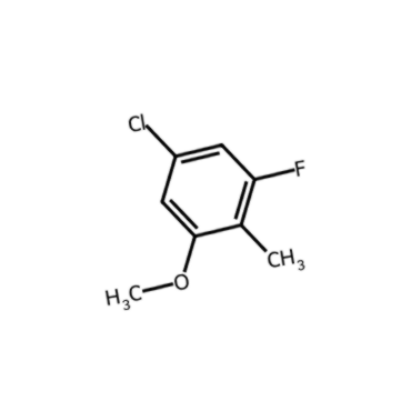 COc1cc(Cl)cc(F)c1C